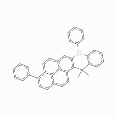 CC1(C)c2ccccc2B(c2ccccc2)c2cc3ccc4c(-c5ccccc5)ccc5ccc(c21)c3c54